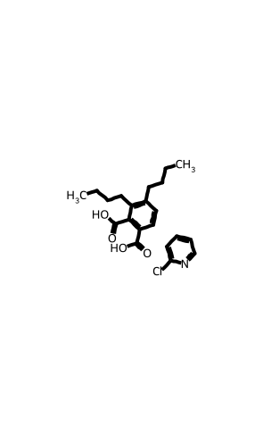 CCCCc1ccc(C(=O)O)c(C(=O)O)c1CCCC.Clc1ccccn1